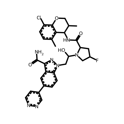 Cc1ccc(Cl)c2c1C(NC(=O)C1CC(F)CN1C(O)Cn1nc(C(N)=O)c3cc(-c4ccnnc4)ccc31)C(C)CO2